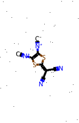 [C-]#[N+]C1=C([N+]#[C-])SC(=C(C#N)C#N)S1